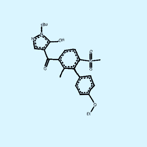 CCOc1ccc(-c2c(S(C)(=O)=O)ccc(C(=O)c3cnn(C(C)(C)C)c3O)c2C)cc1